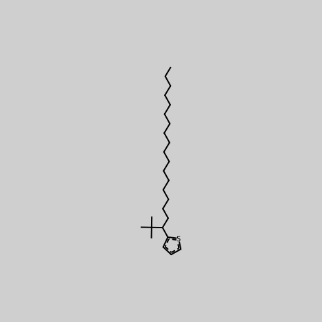 CCCCCCCCCCCCCCCCCC(c1cccs1)C(C)(C)C